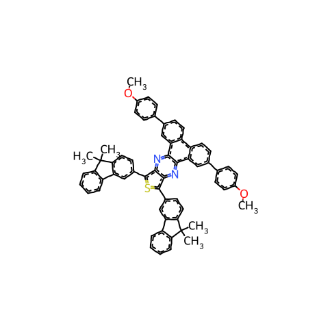 COc1ccc(-c2ccc3c4ccc(-c5ccc(OC)cc5)cc4c4nc5c(-c6ccc7c(c6)-c6ccccc6C7(C)C)sc(-c6ccc7c(c6)-c6ccccc6C7(C)C)c5nc4c3c2)cc1